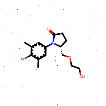 Cc1cc(N2C(=O)CC[C@@H]2COCCO)cc(C)c1Br